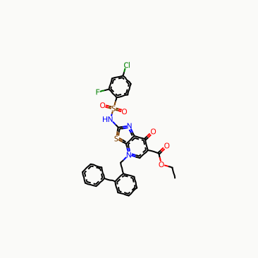 CCOC(=O)c1cn(Cc2ccccc2-c2ccccc2)c2sc(NS(=O)(=O)c3ccc(Cl)cc3F)nc2c1=O